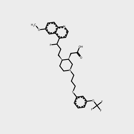 COc1ccc2nccc(C(F)CC[C@@H]3CCN(CCCSc4cccc(OC(F)(F)F)c4)C[C@@H]3CC(=O)O)c2c1